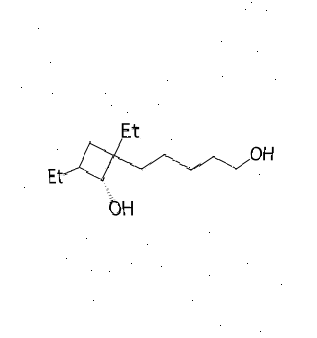 CCC1CC(CC)(CCCCCO)[C@@H]1O